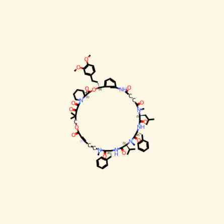 COc1ccc(CC[C@H]2OC(=O)[C@@H]3CCCCN3C(=O)C(=O)C(C)(C)COC(=O)/C=C\CCN(C)C(=O)[C@@H](Cc3ccccc3)NC(=O)[C@H](C(C)C)N(C)C(=O)[C@@H](Cc3ccccc3)NC(=O)[C@H](CC(C)C)N(C)C(=O)CCC(=O)Nc3cccc2c3)cc1OC